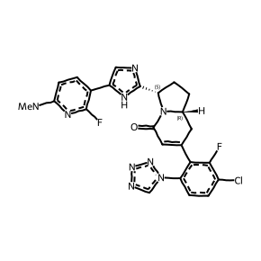 CNc1ccc(-c2cnc([C@@H]3CC[C@@H]4CC(c5c(-n6cnnn6)ccc(Cl)c5F)=CC(=O)N43)[nH]2)c(F)n1